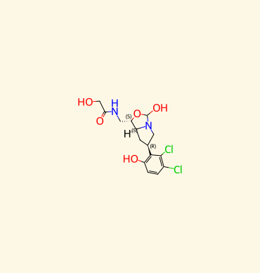 O=C(CO)NC[C@@H]1OC(O)N2C[C@@H](c3c(O)ccc(Cl)c3Cl)C[C@@H]12